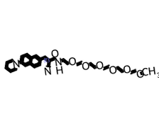 COCCOCCOCCOCCOCCOCCNC(=O)/C(C#N)=C/c1ccc2cc(N3CCCCC3)ccc2c1